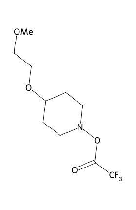 COCCOC1CCN(OC(=O)C(F)(F)F)CC1